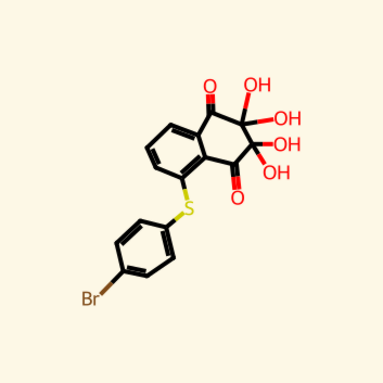 O=C1c2cccc(Sc3ccc(Br)cc3)c2C(=O)C(O)(O)C1(O)O